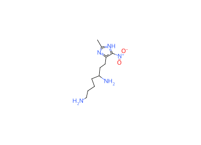 Cc1nc(CCC(N)CCCCN)c([N+](=O)[O-])[nH]1